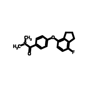 CN(C)C(=O)c1ccc(Oc2ccc(F)c3c2CCC3)cc1